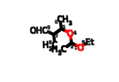 CCOC(C)OC(C)C(C)C=O